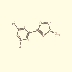 Cn1nnc(-c2cc(Br)c[n+]([O-])c2)n1